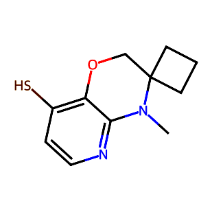 CN1c2nccc(S)c2OCC12CCC2